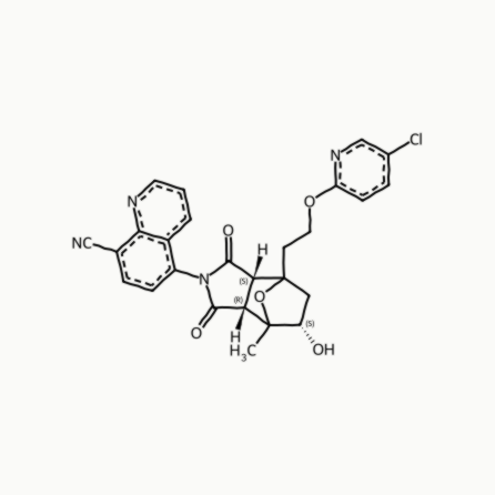 CC12OC(CCOc3ccc(Cl)cn3)(C[C@@H]1O)[C@H]1C(=O)N(c3ccc(C#N)c4ncccc34)C(=O)[C@H]12